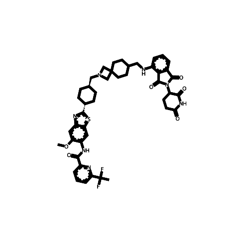 COc1cc2nc([C@H]3CC[C@H](CN4CC5(CCC(CNc6cccc7c6C(=O)N(C6CCC(=O)NC6=O)C7=O)CC5)C4)CC3)sc2cc1NC(=O)c1cccc(C(C)(F)F)n1